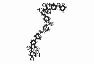 NC(=O)c1c(-c2ccc(Oc3ccccc3)cc2)nn2c1NCCC2C1CCN(C(=O)N2CCN(CCN3CCC(c4ccc5c(c4)C(=O)N(C4CCC(=O)NC4=O)C5=O)CC3)CC2)CC1